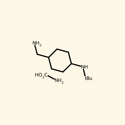 CC(C)(C)NC1CCC(CN)CC1.NC(=O)O